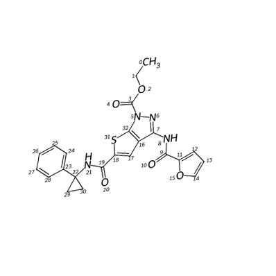 CCOC(=O)n1nc(NC(=O)c2ccco2)c2cc(C(=O)NC3(c4ccccc4)CC3)sc21